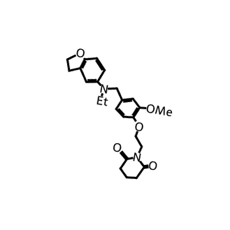 CCN(Cc1ccc(OCCN2C(=O)CCCC2=O)c(OC)c1)c1ccc2c(c1)CCO2